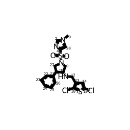 Cn1cnc(S(=O)(=O)N2CC(NCc3cc(Cl)sc3Cl)C(c3ccccc3)C2)c1